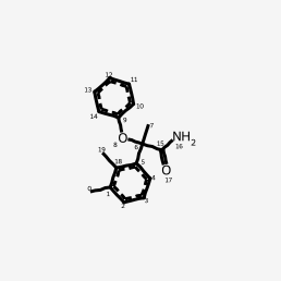 Cc1cccc(C(C)(Oc2ccccc2)C(N)=O)c1C